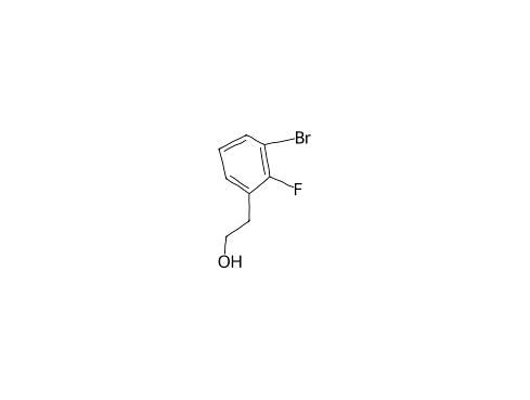 OCCc1cccc(Br)c1F